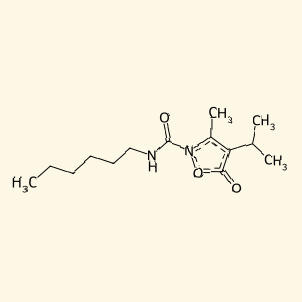 CCCCCCNC(=O)n1oc(=O)c(C(C)C)c1C